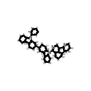 c1ccc(-n2c3ccccc3c3ccc(-c4ccc5c(c4)c4ccccc4n5-c4ncc5c6c(cccc46)-c4cccnc4-5)cc32)cc1